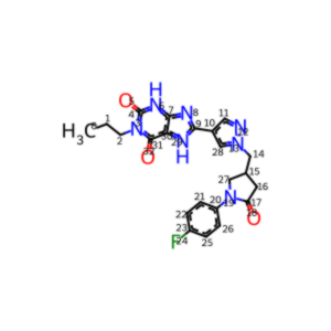 CCCn1c(=O)[nH]c2nc(-c3cnn(CC4CC(=O)N(c5ccc(F)cc5)C4)c3)[nH]c2c1=O